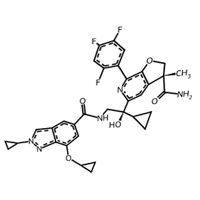 C[C@]1(C(N)=O)COc2c1cc([C@@](O)(CNC(=O)c1cc(OC3CC3)c3nn(C4CC4)cc3c1)C1CC1)nc2-c1cc(F)c(F)cc1F